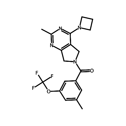 Cc1cc(OC(F)(F)F)cc(C(=O)N2Cc3nc(C)nc(N4CCC4)c3C2)c1